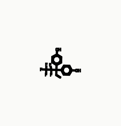 CCC(c1ccc(O)cc1)(c1ccc(O)cc1)C(F)(F)C(F)(F)F